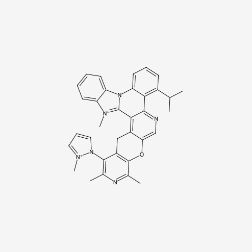 Cc1nc(C)c(-n2ccc[n+]2C)c2c1Oc1cnc3c4c(C(C)C)cccc4n4c5ccccc5[n+](C)c4c3c1C2